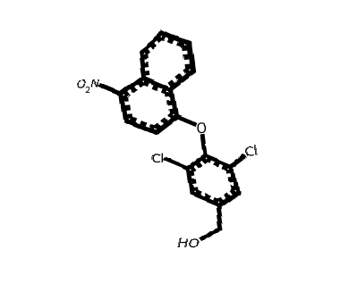 O=[N+]([O-])c1ccc(Oc2c(Cl)cc(CO)cc2Cl)c2ccccc12